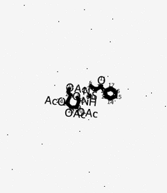 CC(=O)OCC1O[C@H](Nc2ncc(C(=O)c3ccccc3)s2)[C@H](OC(C)=O)C(OC(C)=O)[C@@H]1OC(C)=O